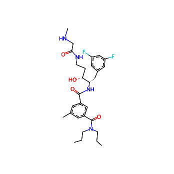 CCCN(CCC)C(=O)c1cc(C)cc(C(=O)N[C@@H](Cc2cc(F)cc(F)c2)[C@H](O)CCNC(=O)CNC)c1